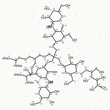 CCCCCCC(CCCCCC)COCC(COCC(CCCCCC)CCCCCC)COCC(CO[C@@H]1OC(CO)[C@@H](OOC(CO)[C@@H](O)C(O)[C@@H](C)O)C(O)C1O)(CO[C@@H]1OC(CO)[C@@H](O[C@H]2OC(CO)[C@@H](O)C(O)C2O)C(O)C1O)CO[C@@H]1OC(CO)[C@H](O[C@H]2OC(CO)[C@@H](O)C(O)C2O)C(O)C1O